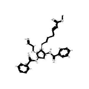 COC(=O)C=CCCCC[C@@H]1[C@@H](CCC=O)[C@H](OC(=O)c2ccccc2)C[C@@H]1OC(=O)c1ccccc1